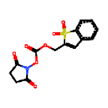 O=C(OCC1=Cc2ccccc2S1(=O)=O)ON1C(=O)CCC1=O